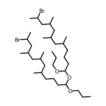 CCCOC(CCCC(C)CC(C)CC(C)CC(C)Br)OC(CCCC(C)CC(C)CC(C)CC(C)Br)OCCC